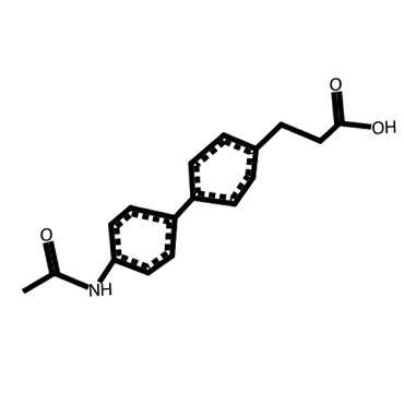 CC(=O)Nc1ccc(-c2ccc(CCC(=O)O)cc2)cc1